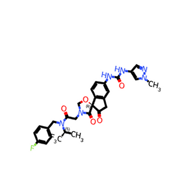 C[C@H](N(Cc1ccc(F)cc1)C(=O)CN1CO[C@]2(C(=O)Cc3cc(NC(=O)Nc4cnn(C)c4)ccc32)C1=O)C(F)(F)F